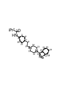 CC(C)C(=O)Nc1ccc(CCN2CCN(c3nsc4ccccc34)CC2)cc1